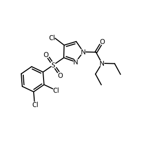 CCN(CC)C(=O)n1cc(Cl)c(S(=O)(=O)c2cccc(Cl)c2Cl)n1